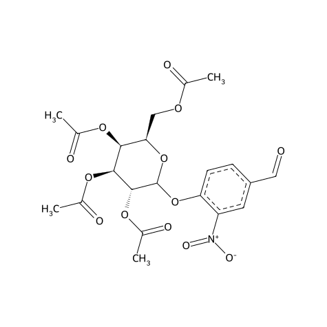 CC(=O)OC[C@H]1OC(Oc2ccc(C=O)cc2[N+](=O)[O-])[C@H](OC(C)=O)[C@@H](OC(C)=O)[C@H]1OC(C)=O